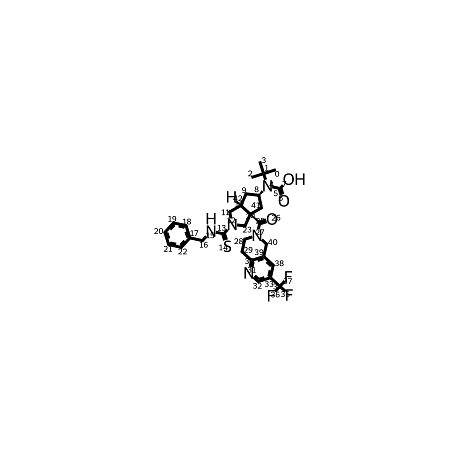 CC(C)(C)N(C(=O)O)[C@@H]1C[C@H]2CN(C(=S)NCc3ccccc3)C[C@@]2(C(=O)N2CCc3ncc(C(F)(F)F)cc3C2)C1